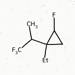 CCC1(C(C)C(F)(F)F)CC1F